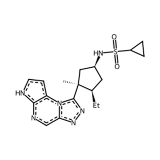 CC[C@@H]1C[C@H](NS(=O)(=O)C2CC2)C[C@]1(C)c1nnc2cnc3[nH]ccc3n12